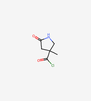 CC1(C(=O)Cl)CNC(=O)C1